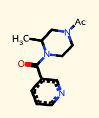 CC(=O)N1CCN(C(=O)c2cccnc2)C(C)C1